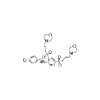 COc1ccc(CNc2ccc(S(=O)(=O)CCCN3CCOCC3)cc2S(=O)(=O)CCCN2CCOCC2)cc1